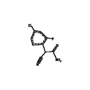 N#CC(C(N)=O)c1ccc(Cl)cc1F